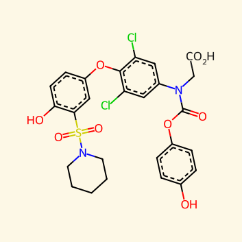 O=C(O)CN(C(=O)Oc1ccc(O)cc1)c1cc(Cl)c(Oc2ccc(O)c(S(=O)(=O)N3CCCCC3)c2)c(Cl)c1